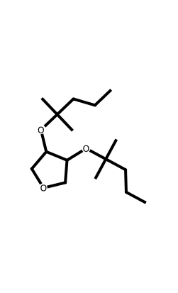 CCCC(C)(C)OC1COCC1OC(C)(C)CCC